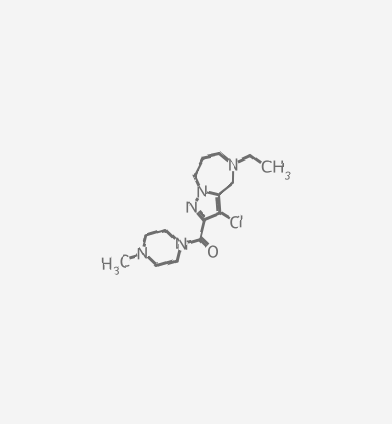 CCN1CCCn2nc(C(=O)N3CCN(C)CC3)c(Cl)c2C1